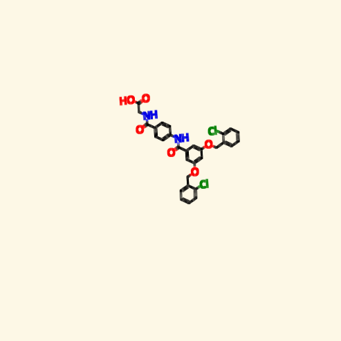 O=C(O)CNC(=O)c1ccc(NC(=O)c2cc(OCc3ccccc3Cl)cc(OCc3ccccc3Cl)c2)cc1